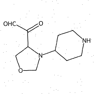 O=CC(=O)C1COCN1C1CCNCC1